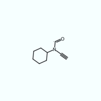 C#CN([C]=O)C1CCCCC1